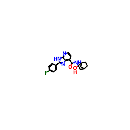 O=C(NC1(O)CC2CCC1C2)c1ccnc2[nH]c(-c3ccc(F)cc3)nc12